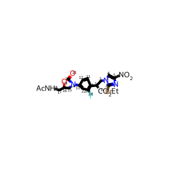 CCOC(=O)C(Cn1cc([N+](=O)[O-])nc1Br)c1ccc(N2CC(CNC(C)=O)OC2=O)cc1F